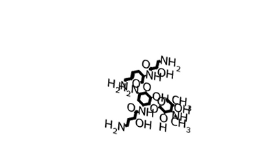 CN[C@@H]1[C@@H](O)[C@@H](O[C@@H]2[C@@H](O)[C@H](O[C@H]3OC(CN)=CC[C@H]3NC(=O)C(O)CN)[C@@H](N)C[C@H]2NC(=O)[C@@H](O)CCN)OC[C@]1(C)O